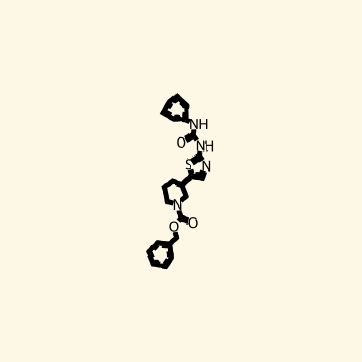 O=C(Nc1ccccc1)Nc1ncc(C2CCCN(C(=O)OCc3ccccc3)C2)s1